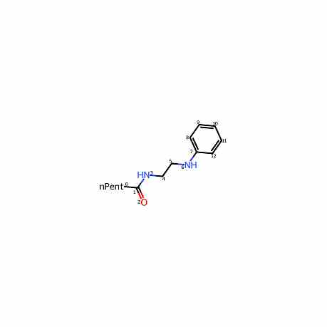 CCCCCC(=O)NCCNc1ccccc1